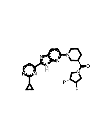 O=C([C@@H]1CCCN(c2ccc3nc(-c4ccnc(C5CC5)n4)[nH]c3n2)C1)N1C[C@@H](F)[C@H](F)C1